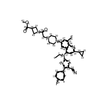 CCN(c1nc(-c2ccc(F)cc2)c(C#N)s1)c1cc(C2CC2)nc2c(F)cc(N3CCN(CC(=O)N4CC(C(=O)OC)C4)CC3)cc12